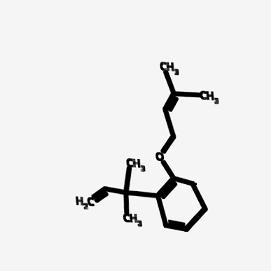 C=CC(C)(C)C1=C(OCC=C(C)C)[CH]CC=C1